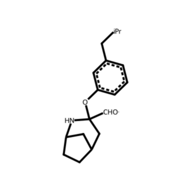 CC(C)Cc1cccc(OC2([C]=O)CC3CCC(C3)N2)c1